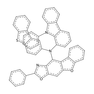 c1ccc(-c2nc3c(N(c4ccc5sc6ccccc6c5c4)c4cccc5c6ccccc6n(-c6ccccc6)c45)c4c(cc3o2)oc2ccccc24)cc1